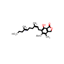 COc1c(C)c2c(c(O)c1CC=C(C)CC/C=C(\C)CCC(=O)O)C(=O)OC2